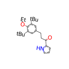 CCOc1c(C(C)(C)C)cc(CCC(=O)c2ccc[nH]2)cc1C(C)(C)C